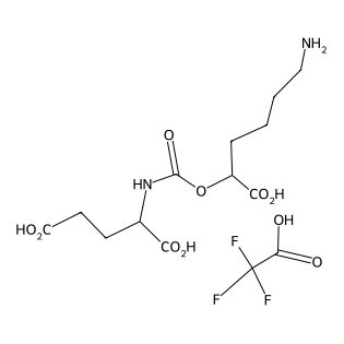 NCCCCC(OC(=O)NC(CCC(=O)O)C(=O)O)C(=O)O.O=C(O)C(F)(F)F